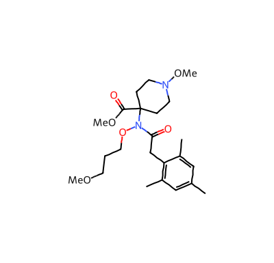 COCCCON(C(=O)Cc1c(C)cc(C)cc1C)C1(C(=O)OC)CCN(OC)CC1